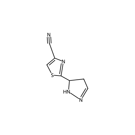 N#Cc1csc(C2CC=NN2)n1